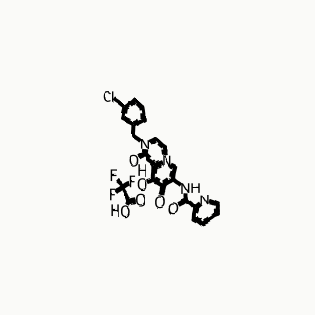 O=C(Nc1cn2ccn(Cc3cccc(Cl)c3)c(=O)c2c(O)c1=O)c1ccccn1.O=C(O)C(F)(F)F